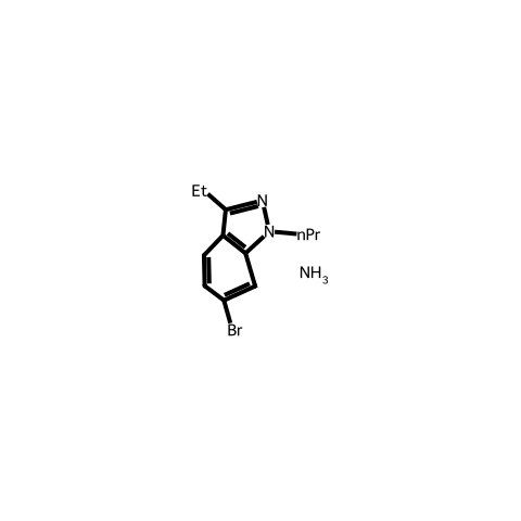 CCCn1nc(CC)c2ccc(Br)cc21.N